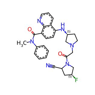 CN(C(=O)c1ccc(N[C@H]2CCN(CC(=O)N3C[C@@H](F)CC3C#N)C2)c2cccnc12)c1ccccc1